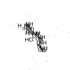 C=C(Br)C(=O)Nc1cc(C(=O)Nc2cc(C(=O)Nc3cc(C(=O)Nc4c[nH]c(CC(=O)NCC(C)NC(=N)N)c4)n(C)c3)n(C)c2)n(C)c1.Cl